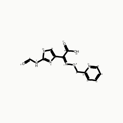 O=CNc1nc(C(=NOCc2ccccn2)C(=O)O)cs1